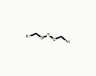 CC(=O)C[O][Ti][O]CC(C)=O